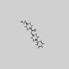 CN1CCN(C(=O)CN2CCN(c3ccccc3)CC2)CC1